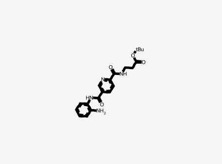 CC(C)(C)OC(=O)CCNC(=O)c1ccc(C(=O)Nc2ccccc2N)cn1